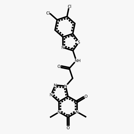 Cn1c(=O)c2c(nnn2CC(=O)Nc2nc3cc(Cl)c(Cl)cc3s2)n(C)c1=O